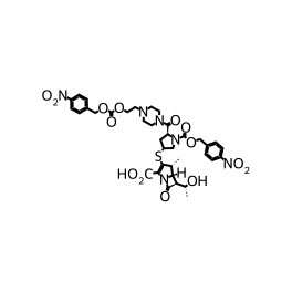 C[C@@H](O)[C@H]1C(=O)N2C(C(=O)O)=C(S[C@H]3C[C@@H](C(=O)N4CCN(CCOC(=O)OCc5ccc([N+](=O)[O-])cc5)CC4)N(C(=O)OCc4ccc([N+](=O)[O-])cc4)C3)[C@H](C)[C@H]12